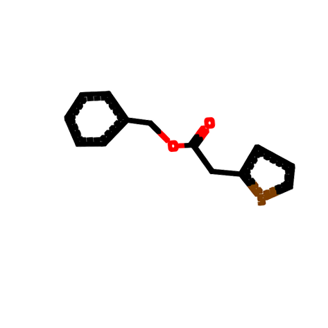 O=C(Cc1cccs1)OCc1ccccc1